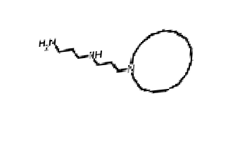 NCCCNCCCN1CCCCCCCCCCCCCC1